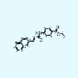 CCOC(=O)c1ccc(NC(=O)/C=C/c2ccc3ccccc3c2)cc1